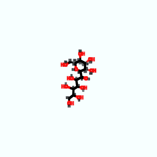 O=C(C(O)C(O)C(O)C(O)CO)C1O[C@H](CO)[C@@H](O)[C@H](O)[C@@H]1O